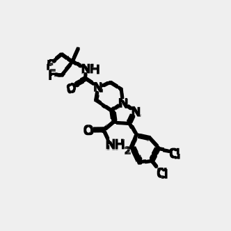 CC(CF)(CF)NC(=O)N1CCn2nc(-c3ccc(Cl)c(Cl)c3)c(C(N)=O)c2C1